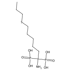 CCCSCCCCCC(N)(P(=O)(O)O)P(=O)(O)O